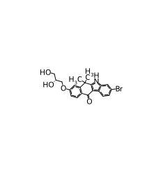 CC1(C)c2cc(OC[C@H](O)CO)ccc2C(=O)c2c1[nH]c1cc(Br)ccc21